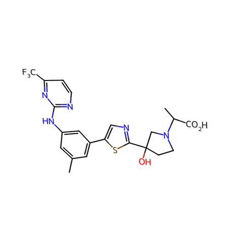 Cc1cc(Nc2nccc(C(F)(F)F)n2)cc(-c2cnc(C3(O)CCN(C(C)C(=O)O)C3)s2)c1